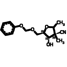 CC1O[C@H](COCOc2ccccc2)[C@@H](O)[C@@]1(C)C#N